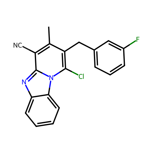 Cc1c(Cc2cccc(F)c2)c(Cl)n2c(nc3ccccc32)c1C#N